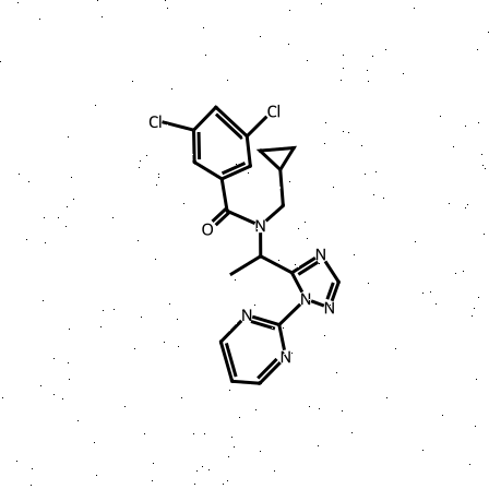 CC(c1ncnn1-c1ncccn1)N(CC1CC1)C(=O)c1cc(Cl)cc(Cl)c1